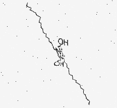 CCCCCCCCCCCCCCCCCC[N+]1(CCO)CC[N+](CCO)(CCCCCCCCCCCCCCCCCC)CC1